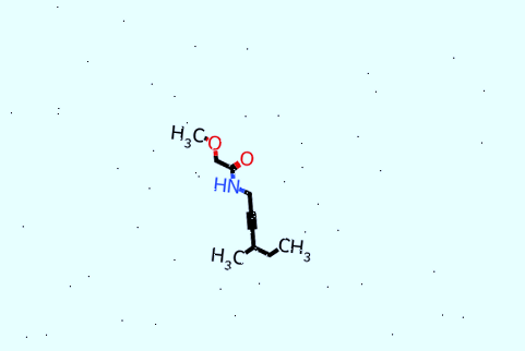 CCC(C)C#CCNC(=O)COC